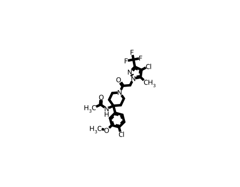 COc1cc(C2(NC(C)=O)CCN(C(=O)Cn3nc(C(F)(F)F)c(Cl)c3C)CC2)ccc1Cl